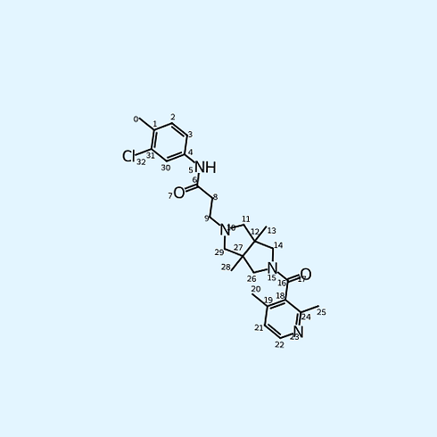 Cc1ccc(NC(=O)CCN2CC3(C)CN(C(=O)c4c(C)ccnc4C)CC3(C)C2)cc1Cl